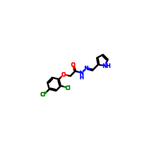 O=C(COc1ccc(Cl)cc1Cl)N/N=C/c1ccc[nH]1